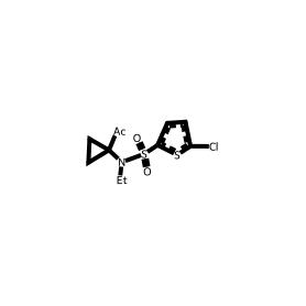 CCN(C1(C(C)=O)CC1)S(=O)(=O)c1ccc(Cl)s1